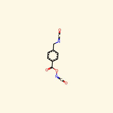 O=C=NCc1ccc(C(=O)ON=C=O)cc1